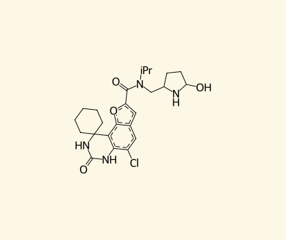 CC(C)N(CC1CCC(O)N1)C(=O)c1cc2cc(Cl)c3c(c2o1)C1(CCCCC1)NC(=O)N3